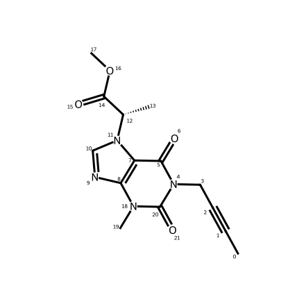 CC#CCn1c(=O)c2c(ncn2[C@@H](C)C(=O)OC)n(C)c1=O